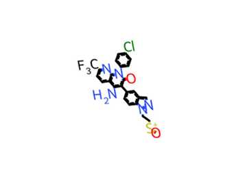 Nc1c(-c2ccc3c(cnn3CC[S+]=O)c2)c(=O)n(-c2ccc(Cl)cc2)c2nc(C(F)(F)F)ccc12